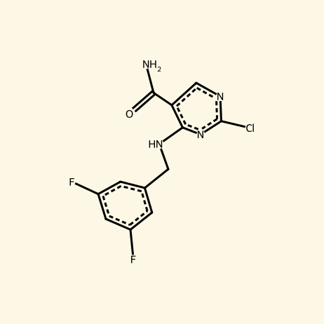 NC(=O)c1cnc(Cl)nc1NCc1cc(F)cc(F)c1